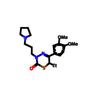 CCC1SC(=O)N(CCCN2CCCC2)N=C1c1ccc(OC)c(OC)c1